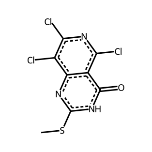 CSc1nc2c(Cl)c(Cl)nc(Cl)c2c(=O)[nH]1